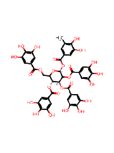 Cc1cc(C(=O)O[C@@H]2OC(COC(=O)c3cc(O)c(O)c(O)c3)[C@@H](OC(=O)c3cc(O)c(O)c(O)c3)[C@H](OC(=O)c3cc(O)c(O)c(O)c3)C2OC(=O)c2cc(O)c(O)c(O)c2)cc(O)c1O